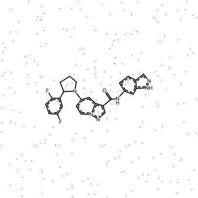 O=C(Nc1ccc2cn[nH]c2c1)c1cnn2ccc(N3CCCC3c3cc(F)ccc3F)cc12